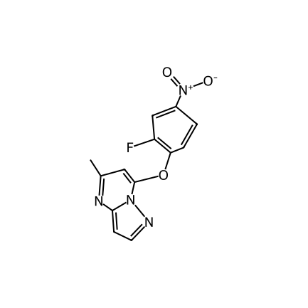 Cc1cc(Oc2ccc([N+](=O)[O-])cc2F)n2nccc2n1